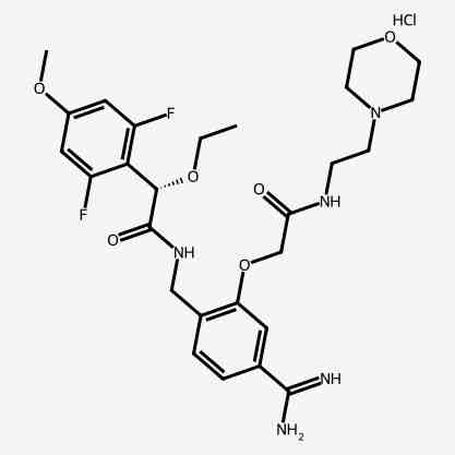 CCO[C@H](C(=O)NCc1ccc(C(=N)N)cc1OCC(=O)NCCN1CCOCC1)c1c(F)cc(OC)cc1F.Cl